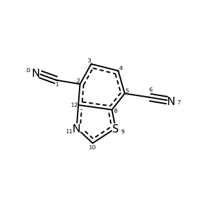 N#Cc1ccc(C#N)c2scnc12